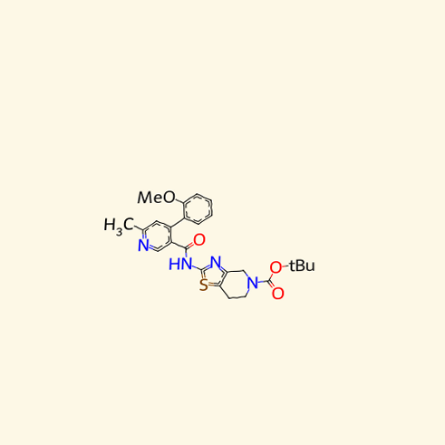 COc1ccccc1-c1cc(C)ncc1C(=O)Nc1nc2c(s1)CCN(C(=O)OC(C)(C)C)C2